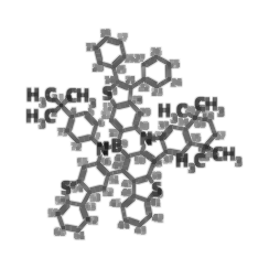 CC(C)(C)c1ccc(N2B3c4cc5sc(-c6ccccc6)c(-c6ccccc6)c5cc4-n4c5cc6c(cc5c5c7sc8ccccc8c7c(c3c54)-c3cc4c(cc32)sc2ccccc24)C(C)(C)CCC6(C)C)cc1